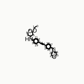 CCOC(=O)CC(CC)Nc1ccc(C#Cc2ccc(CN3CCOCC3)cc2)cc1